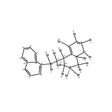 BrC1=C(Br)C(Br)C2(Br)C(=C1Br)C(Br)(C(Br)(Br)C(Br)(Br)c1cccc3ccccc13)C(Br)(Br)C(Br)(Br)C2(Br)Br